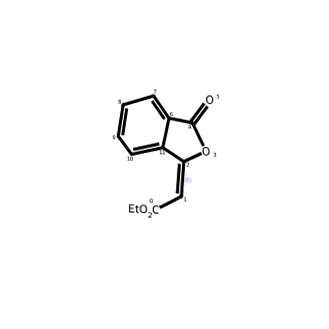 CCOC(=O)/C=C1/OC(=O)c2ccccc21